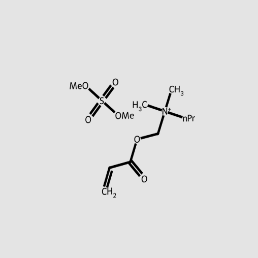 C=CC(=O)OC[N+](C)(C)CCC.COS(=O)(=O)OC